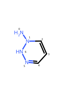 NN1C=CC=NN1